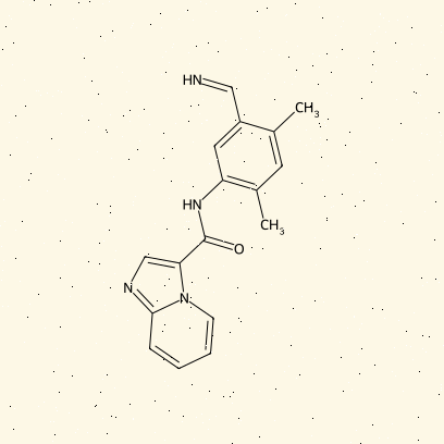 Cc1cc(C)c(NC(=O)c2cnc3ccccn23)cc1C=N